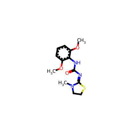 COc1cccc(OC)c1NC(=O)N=C1SCCN1C